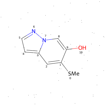 CSc1cc2ccnn2cc1O